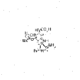 CC(C)(C)[Si](C)(C)OC1CC(NC(=O)O)CC(Nc2cc(Br)ncc2N)C1